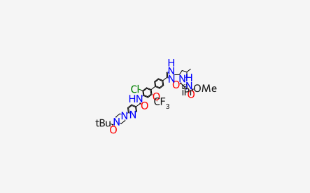 COC(=O)N[C@H](C(=O)N1CC(C)CC1c1nc(-c2ccc(-c3cc(Cl)c(NC(=O)c4ccc(N5CCN(C(=O)C(C)(C)C)CC5)nc4)cc3OC(F)(F)F)cc2)c[nH]1)C(C)C